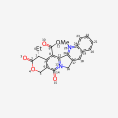 CC[C@H]1C(=O)OCc2c1c(C(=O)OC)c1n(c2=O)Cc2cc3ccccc3nc2-1